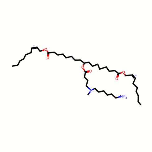 CCCCCC/C=C\COC(=O)CCCCCCCC(CCCCCCCC(=O)OC/C=C\CCCCCC)OC(=O)CCCN(C)CCCCCCN